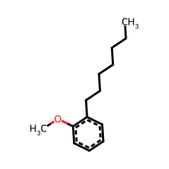 CCCCCCCc1ccccc1OC